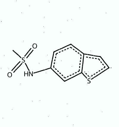 CS(=O)(=O)Nc1ccc2c[c]sc2c1